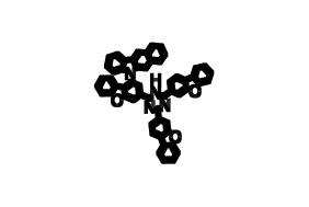 c1ccc2cc3c(cc2c1)c1ccccc1n3-c1cc(C2=NC(c3ccc4c(c3)oc3ccccc34)=NC(c3ccc4c(c3)oc3ccccc34)N2)cc2oc3ccccc3c12